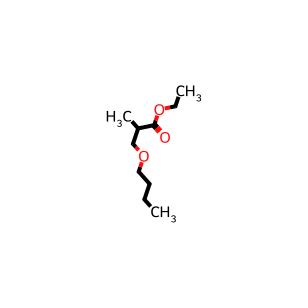 CCCCOCC(C)C(=O)OCC